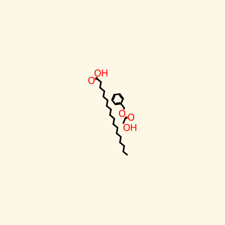 CCCCCCCCCCCCCCCCCC(=O)O.O=C(CO)OCc1ccccc1